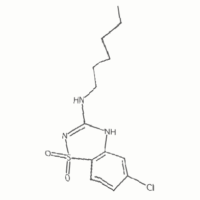 CCCCCCNC1=NS(=O)(=O)c2ccc(Cl)cc2N1